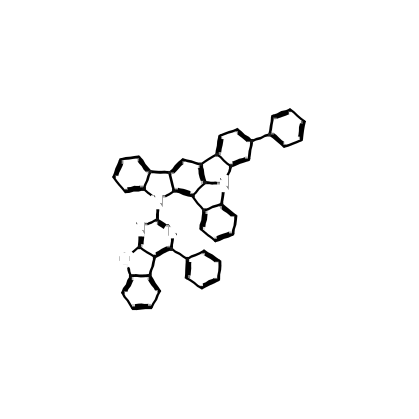 c1ccc(-c2ccc3c4cc5c6ccccc6n(-c6nc(-c7ccccc7)c7c(n6)oc6ccccc67)c5c5c6ccccc6n(c3c2)c45)cc1